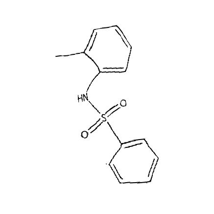 Cc1ccccc1NS(=O)(=O)c1[c]cccc1